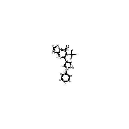 CC(C)(C)c1c(-c2cnn(-c3ccccc3)c2)[nH]c2ncnn2c1=O